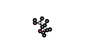 c1ccc(-c2ccc3c(-n4c5cc6ccccc6cc5c5c6ccccc6ccc54)c(-c4ccccc4)cc(-c4nc(-c5ccccc5)nc(-c5cccc6ccccc56)n4)c3c2)cc1